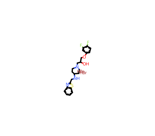 Br.Br.OC(COc1ccc(F)c(F)c1)CN1CCC(NCc2nc3ccccc3s2)CC1